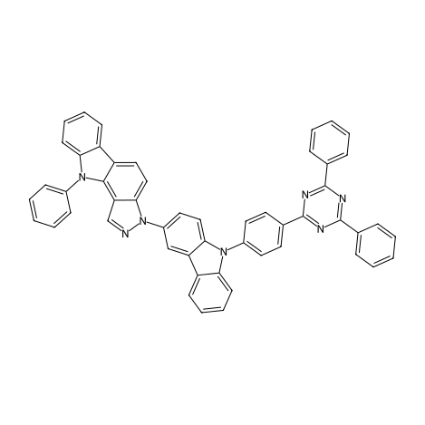 c1ccc(-c2nc(-c3ccccc3)nc(-c3ccc(-n4c5ccccc5c5cc(-n6ncc7c6ccc6c8ccccc8n(-c8ccccc8)c67)ccc54)cc3)n2)cc1